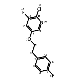 Fc1ccc(CCOc2cnc(Cl)c(F)c2)cc1